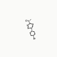 C[S+]([O-])c1ncc(-c2ccc(Br)cc2)nn1